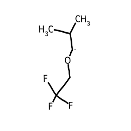 CC(C)[CH]OCC(F)(F)F